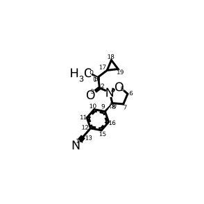 C[C@H](C(=O)N1OCC[C@H]1c1ccc(C#N)cc1)C1CC1